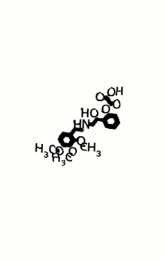 COc1ccc(CCNCC(O)c2ccccc2OC(=O)C(=O)O)c(OC)c1OC